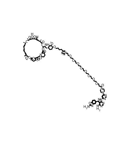 CO[C@H]1C[C@@H]2CC[C@@H](C)[C@@](O)(O2)C(=O)C(=O)N2CCCC[C@H]2C(=O)O[C@H]([C@H](N)C[C@@H]2CC[C@@H](OCCCCc3cn(CCOCCOCCOCCOCCOCCOCCOCCOCCC(=O)N4CCN(c5cc(-n6nc(-c7ccc8oc(N)nc8c7)c7c(N)ncnc76)ncn5)CC4)nn3)[C@H](OC)C2)CC(=O)[C@H](C)/C=C(\C)[C@@H](O)[C@@H](O)C(=O)[C@H](C)C[C@H](C)/C=C/C=C/C=C/1C